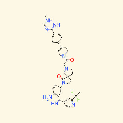 CN/C=N\C(=N)c1ccc(C2=CCN(C(=O)CN3CC[C@]4(CCN(c5ccc(N)c(C(=N)c6ccnc(C(C)(F)F)c6)c5)C4=O)C3)CC2)cc1